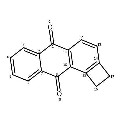 O=C1c2ccccc2C(=O)c2c1ccc1c2CC1